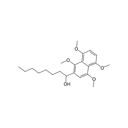 CCCCCCCC(O)c1cc(OC)c2c(OC)ccc(OC)c2c1OC